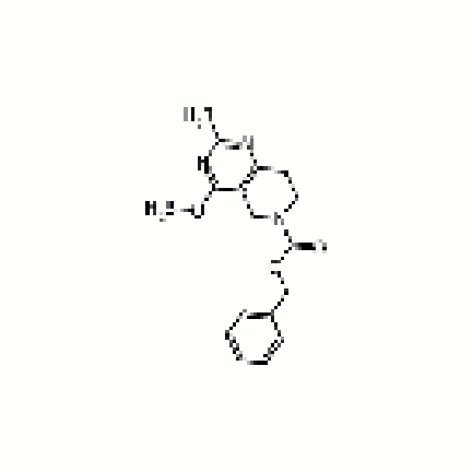 BOc1nc(B)nc2c1CN(C(=O)OCc1ccccc1)CC2